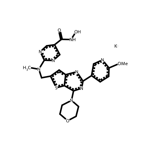 COc1ccc(-c2nc(N3CCOCC3)c3sc(CN(C)c4ncc(C(=O)NO)cn4)cc3n2)cn1.[K]